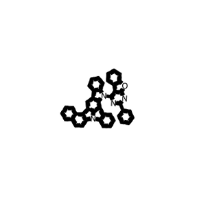 c1ccc(-c2nc(-n3c4ccccc4c4cc5c6c7ccccc7ccc6n6c7ccccc7c(c43)c56)c3c(n2)oc2ccccc23)cc1